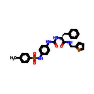 Cc1ccc(S(=O)(=O)Nc2ccc(NC(=O)N[C@H](Cc3ccccc3)C(=O)NCc3cccs3)cc2)cc1